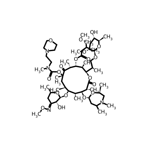 CO/N=C1\C[C@@H](C)O[C@@H](O[C@@H]2[C@@H](C)[C@H](O[C@H]3CC(C)N(C)C[C@H](C)O3)[C@@H](C)C(=O)O[C@H]([C@@H](C)CO[C@@H]3O[C@H](C)[C@@H](O)[C@@H](OC)[C@H]3OC)[C@H](C)[C@@H](OC(=O)CC(C)C)[C@@H](C)C(=O)[C@@](C)(OC(=O)N(C)CCN3CCOCC3)C[C@@H]2C)[C@@H]1O